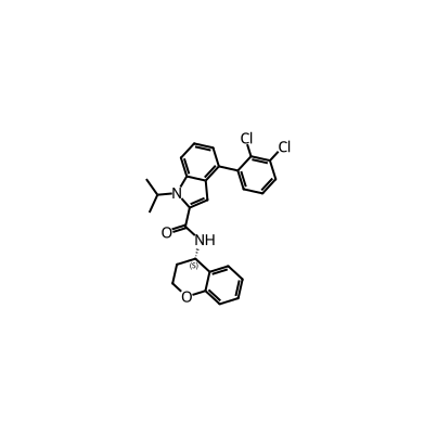 CC(C)n1c(C(=O)N[C@H]2CCOc3ccccc32)cc2c(-c3cccc(Cl)c3Cl)cccc21